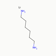 NCCCCCCN.[Li]